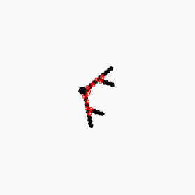 CCCCCCCOCC(OCCCCCCC)OCCOCCOC(=O)c1ccccc1C(=O)OCCOCCOC(COCCCCCCC)OCCCCCCC